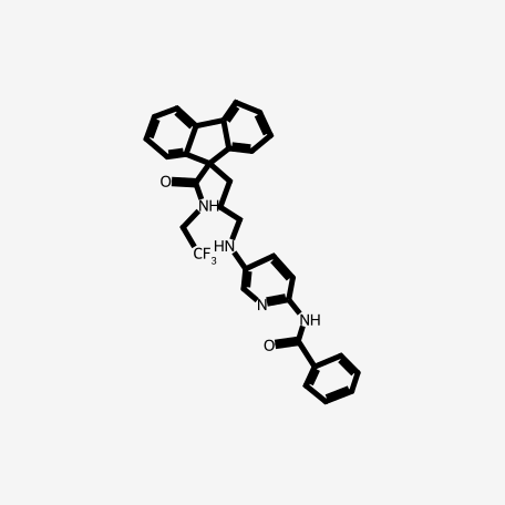 O=C(Nc1ccc(NCCCC2(C(=O)NCC(F)(F)F)c3ccccc3-c3ccccc32)cn1)c1ccccc1